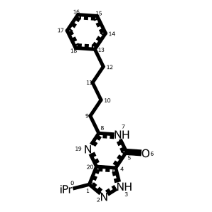 CC(C)c1n[nH]c2c(=O)[nH]c(CCCCc3ccccc3)nc12